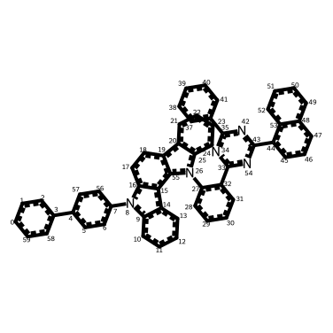 c1ccc(-c2ccc(-n3c4ccccc4c4c3ccc3c5ccccc5n(-c5ccccc5-c5nc(-c6ccccc6)nc(-c6cccc7ccccc67)n5)c34)cc2)cc1